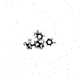 C[C@H]1CC[C@H](Cn2cnc3nc(-c4noc(=O)[nH]4)nc(N4CCCC(F)(F)C4)c32)CC1